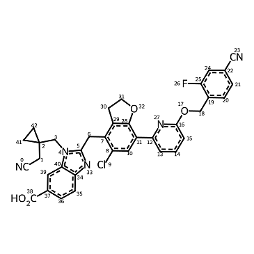 N#CCC1(Cn2c(Cc3c(Cl)cc(-c4cccc(OCc5ccc(C#N)cc5F)n4)c4c3CCO4)nc3ccc(C(=O)O)cc32)CC1